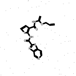 C=CCOC(=C)NC(=O)c1ccsc1NC(=O)c1nc2cnccc2s1